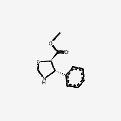 COC(=O)[C@@H]1OCN[C@H]1c1ccccc1